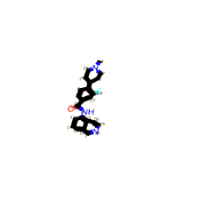 CN1CCC(c2ccc(C(=O)Nc3cccc4cnccc34)cc2F)CC1